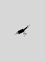 N#[C][K].[Fe]